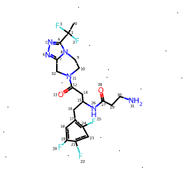 CC(F)(F)c1nnc2n1CCN(C(=O)CC(Cc1cc(F)c(F)cc1F)NC(=O)CCN)C2